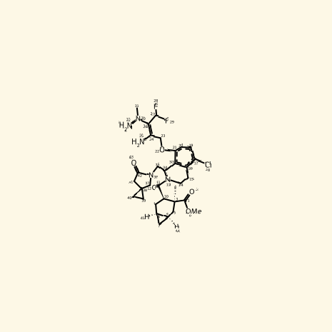 COC(=O)[C@@]1(C)C[C@H]2C[C@H]2C[C@H]1C(=O)N1CCc2c(Cl)ccc(OC/C(N)=C(\C(F)F)N(C)N)c2C1CN1CC2(CC2)CC1=O